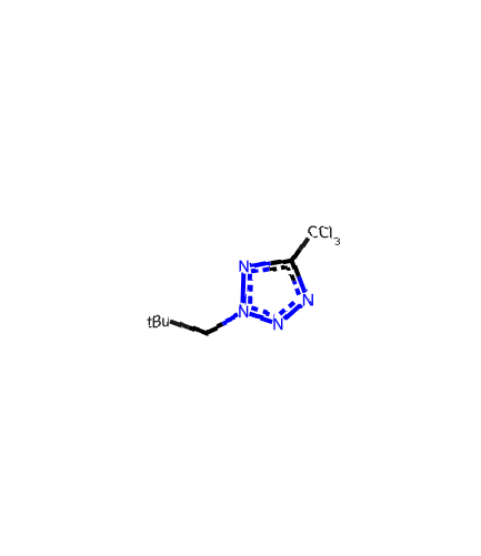 CC(C)(C)Cn1nnc(C(Cl)(Cl)Cl)n1